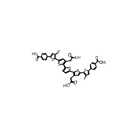 O=C(O)Cc1cc(-c2sc(-c3ccc(C(=O)O)cc3)cc2F)sc1-c1ccc(-c2sc(-c3sc(-c4ccc(C(=O)O)cc4)cc3F)cc2CC(=O)O)s1